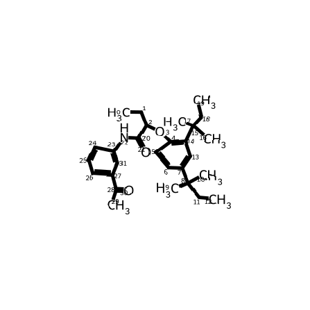 CCC(Oc1ccc(C(C)(C)CC)cc1C(C)(C)CC)C(=O)Nc1cccc(C(C)=O)c1